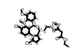 CCOC(=O)Cc1nnn(CC[C@H]2O[C@H](c3cccc(OC)c3OC)c3cc(Cl)ccc3-n3c(Cl)ccc32)n1